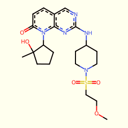 COCCS(=O)(=O)N1CCC(Nc2ncc3ccc(=O)n(C4CCCC4(C)O)c3n2)CC1